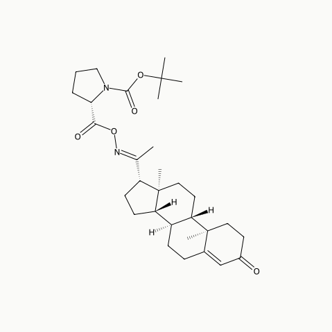 C/C(=N\OC(=O)[C@@H]1CCCN1C(=O)OC(C)(C)C)[C@H]1CC[C@H]2[C@@H]3CCC4=CC(=O)CC[C@]4(C)[C@H]3CC[C@]12C